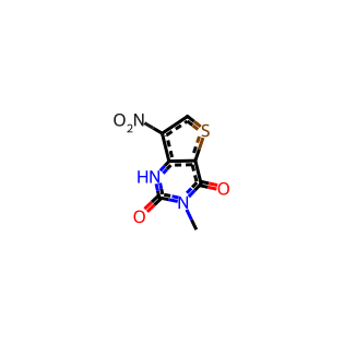 Cn1c(=O)[nH]c2c([N+](=O)[O-])csc2c1=O